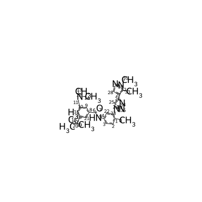 Cc1ccc(NC(=O)c2cc(CN(C)C)cc(C(C)(C)C)c2)cc1-n1cc(-c2cnn(C)c2C)nn1